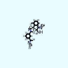 CNC(=O)/C(=N/OC)c1cccc(C)c1CO/N=C(\C)c1cccc(/C(C)=N/OC)c1